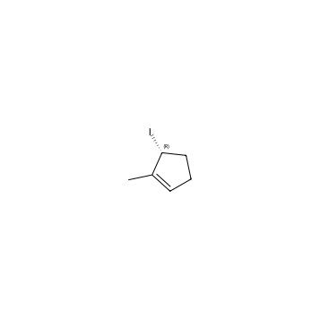 CC1=CCC[C@H]1I